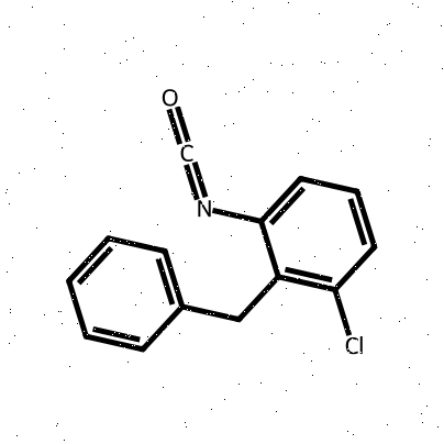 O=C=Nc1cccc(Cl)c1Cc1ccccc1